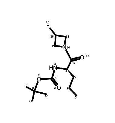 CCC[C@@H](NC(=O)OC(C)(C)C)C(=O)N1CC(F)C1